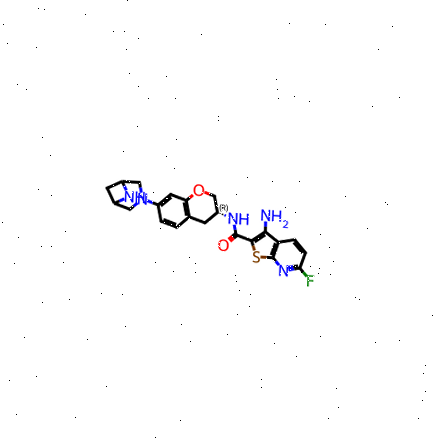 Nc1c(C(=O)N[C@H]2COc3cc(N4CC5CC(C4)N5)ccc3C2)sc2nc(F)ccc12